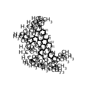 COC(=O)c1c(-c2ccc(B3OC(C)(C)C(C)(C)O3)c(C(=O)OC(C)(C)C)n2)c(-c2ccc(B3OC(C)(C)C(C)(C)O3)c(C(=O)OC(C)(C)C)n2)c(F)c2c1C(c1ccc(B3OC(C)(C)C(C)(C)O3)c(C(=O)OC(C)(C)C)n1)N(c1ccc(B3OC(C)(C)C(C)(C)O3)c(C(=O)OC(C)(C)C)n1)CC2